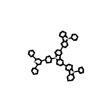 c1ccc(-c2cc(-c3ccc(-n4c5ccc(-c6ccc7c(c6)c6ccccc6n7-c6ccccc6)cc5c5cc(-c6ccc7c(c6)c6ccccc6n7-c6ccccc6)ccc54)cc3)cc(-c3ccccc3)n2)cc1